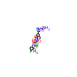 C[C@H](N(Cc1ccc(F)cc1)C(=O)CN1C(=O)N(O)[C@]2(CCc3cc(-c4cnn(CC(N)=O)c4)ccc32)C1=O)C(F)(F)F